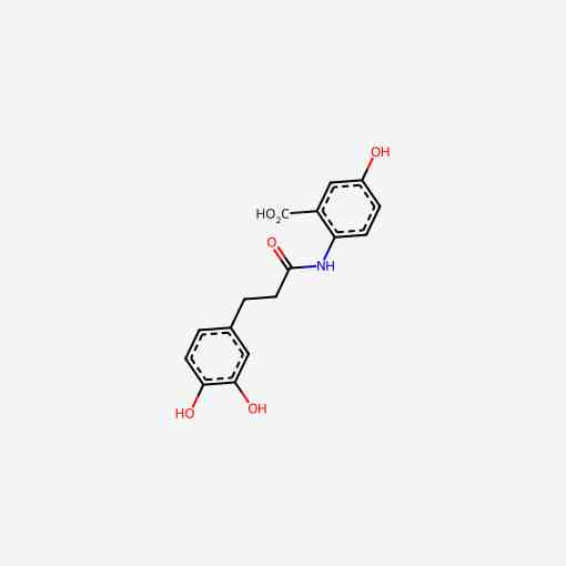 O=C(CCc1ccc(O)c(O)c1)Nc1ccc(O)cc1C(=O)O